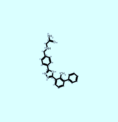 Cc1c(-c2ccccc2)cccc1-c1nnc(-c2ccc(CNCC(N)=O)cc2)o1